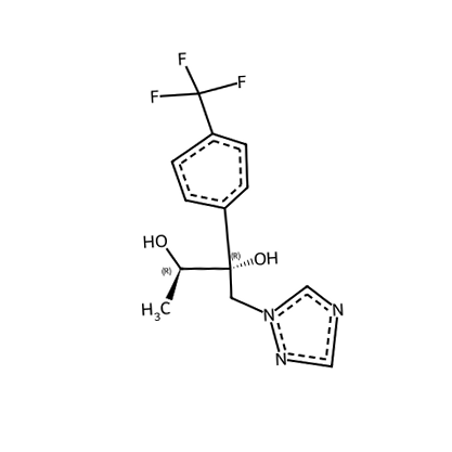 C[C@@H](O)[C@](O)(Cn1cncn1)c1ccc(C(F)(F)F)cc1